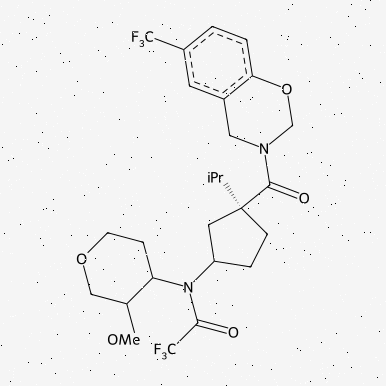 COC1COCCC1N(C(=O)C(F)(F)F)C1CC[C@@](C(=O)N2COc3ccc(C(F)(F)F)cc3C2)(C(C)C)C1